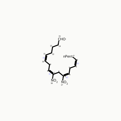 CCCCC/C=C\C/C=C(\C/C(=C\C/C=C\CCC[C]=O)[N+](=O)[O-])[N+](=O)[O-]